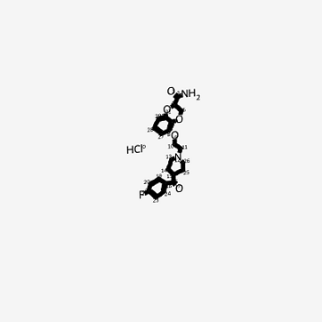 Cl.NC(=O)C1COc2c(OCCN3CCC(C(=O)c4ccc(F)cc4)CC3)cccc2O1